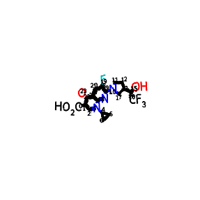 O=C(O)c1cn(C2CC2)c2nc(N3CCC(C(O)C(F)(F)F)C3)c(F)cc2c1=O